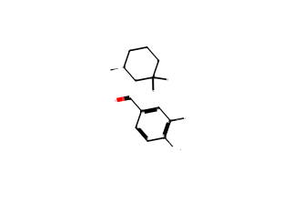 C[C@H]1CCCC(C)(C)[C@@H]1C(=O)c1ccc(C#N)c(C(F)(F)F)c1